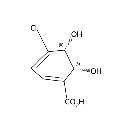 O=C(O)C1=CC=C(Cl)[C@H](O)[C@@H]1O